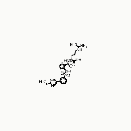 COc1ncc(-c2cccc(S(=O)(=O)Nc3ccsc3C(=O)N[C@@H](CCCNC(N)N)C(=O)O)c2)cn1